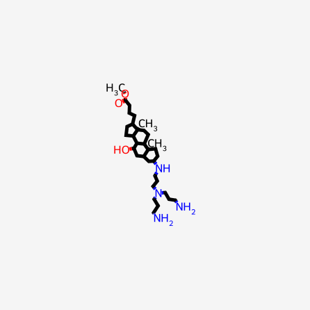 COC(=O)CCCC1CCC2C3C(O)CC4CC(NCCCN(CCCN)CCCN)CCC4(C)C3CCC12C